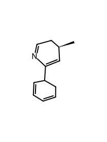 C[C@H]1C=C(C2C=CC=CC2)N=CC1